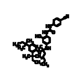 CCCCC(C)(Nc1ccc(NC(=O)Nc2ccc(C#N)cc2)c(O)c1)Oc1ccc(C(C)(C)CC)cc1C(C)(C)CC